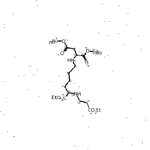 CCCCOC(=O)CC(NCCCCC(NCCC(=O)OCC)C(=O)OCC)C(=O)OCCCC